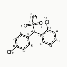 CCCS(=O)(=O)C(c1ccc(Cl)cc1)c1ccccc1Cl